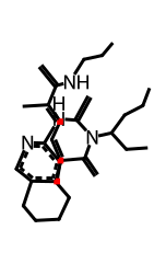 C=C(NCCC)/C(C)=C/C=C(/C)C(=C)N(C(=C)Nc1cc2c(cn1)CCCC2)C(CC)CCC